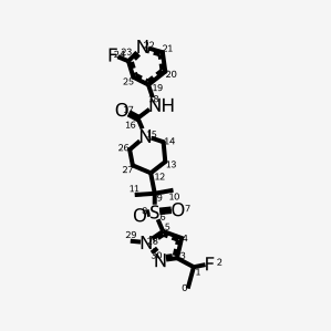 CC(F)c1cc(S(=O)(=O)C(C)(C)C2CCN(C(=O)Nc3ccnc(F)c3)CC2)n(C)n1